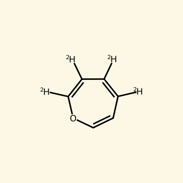 [2H]C1=C([2H])C([2H])=C([2H])OC=C1